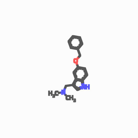 CN(C)Cc1c[nH]c2ccc(OCc3ccccc3)cc12